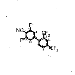 N#Cc1c(F)cc(-c2ccc(C(F)(F)F)cc2C(F)(F)F)cc1F